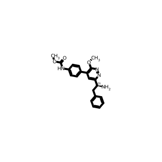 COC(=O)Nc1ccc(-c2cc([C@@H](N)Cc3ccccc3)nnc2OC)cc1